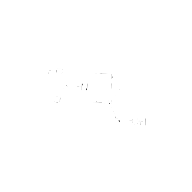 O=C(O)N1CC2CCC1/C(=N/O)C2